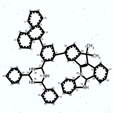 CC1(C)C2=C(c3cc(-c4cc(-c5cc6ccccc6c6ccccc56)cc(C5NC(c6ccccc6)NC(c6ccccc6)N5)c4)ccc31)N1c3ccccc3NC1c1ccccc12